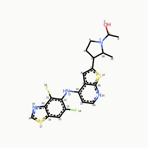 CC(O)N1CCC(c2cc3c(Nc4c(F)cc5scnc5c4F)ccnc3s2)C1C